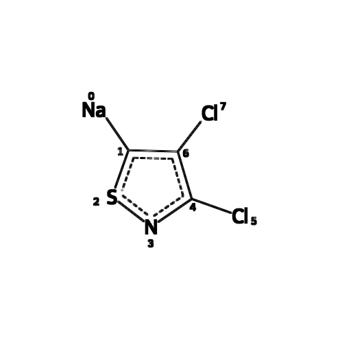 [Na][c]1snc(Cl)c1Cl